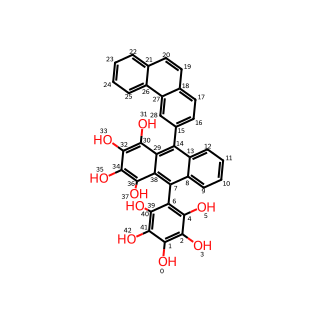 Oc1c(O)c(O)c(-c2c3ccccc3c(-c3ccc4ccc5ccccc5c4c3)c3c(O)c(O)c(O)c(O)c23)c(O)c1O